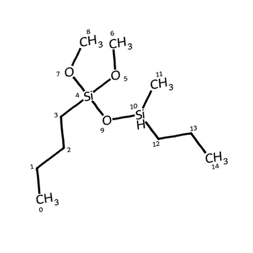 CCCC[Si](OC)(OC)O[SiH](C)CCC